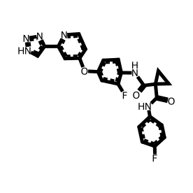 O=C(Nc1ccc(F)cc1)C1(C(=O)Nc2ccc(Oc3ccnc(-c4c[nH]nn4)c3)cc2F)CC1